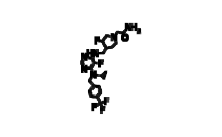 NC(=O)CN1CCC(CNc2ncnc(N(Cc3ccc(C(F)(F)F)cc3)C3CC3)c2F)[C@@H](F)C1